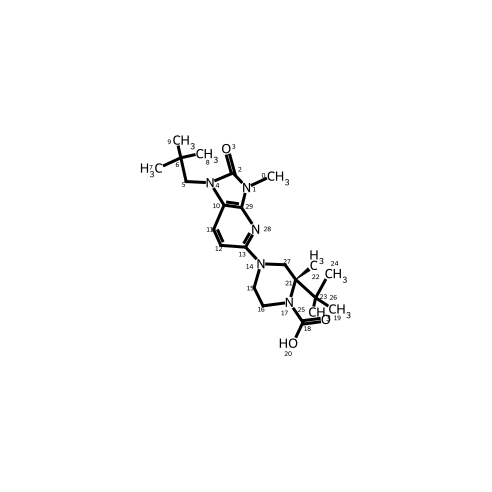 Cn1c(=O)n(CC(C)(C)C)c2ccc(N3CCN(C(=O)O)[C@@](C)(C(C)(C)C)C3)nc21